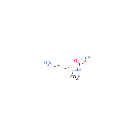 CCCOC(=O)NC(CCCCN)C(=O)O